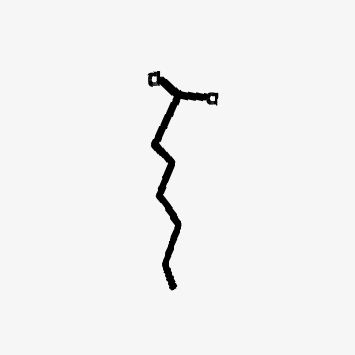 CCCCCC[C](Cl)Cl